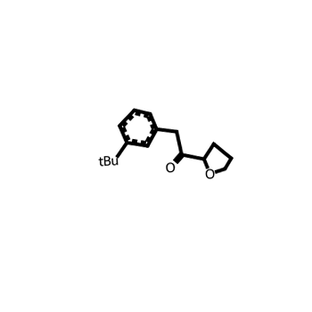 CC(C)(C)c1cccc(CC(=O)C2CCCO2)c1